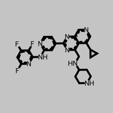 Fc1cc(F)c(F)c(Nc2cc(-c3nc(CNC4CCNCC4)c4c(C5CC5)cncc4n3)ccn2)n1